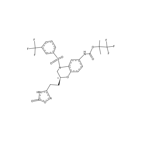 CC(C)(OC(=O)Nc1ccc2c(c1)N(S(=O)(=O)c1cccc(C(F)(F)F)c1)C[C@H](CCc1noc(=O)[nH]1)O2)C(F)(F)F